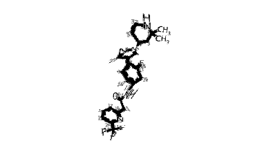 CC1(C)CC(n2cc(-c3ccc(NC(=O)Cc4cccc(C(F)(F)F)n4)cc3F)cn2)CCN1